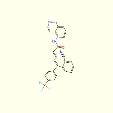 N#Cc1ccccc1C(=CC=CC(=O)Nc1cccc2cnccc12)c1ccc(C(F)(F)F)cc1